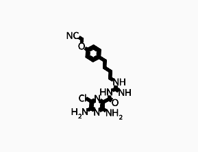 N#CCOc1ccc(CCCCNC(=N)NC(=O)c2nc(Cl)c(N)nc2N)cc1